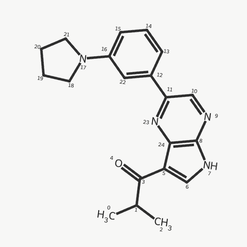 CC(C)C(=O)c1c[nH]c2ncc(-c3cccc(N4CCCC4)c3)nc12